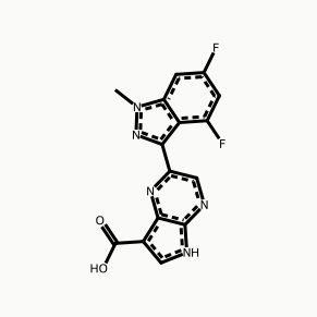 Cn1nc(-c2cnc3[nH]cc(C(=O)O)c3n2)c2c(F)cc(F)cc21